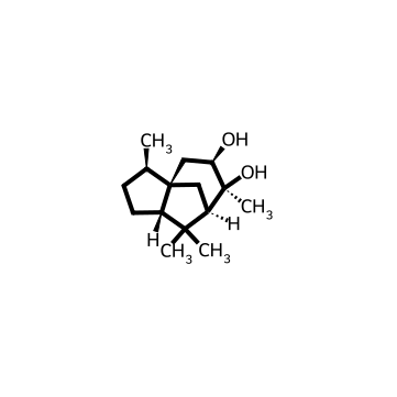 C[C@@H]1CC[C@H]2C(C)(C)[C@H]3C[C@@]12C[C@@H](O)[C@@]3(C)O